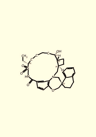 CC[C@@H]1CCCC[C@H](O)[C@@H]2CC[C@H]2CN2C[C@@]3(CCCc4ccccc43)COc3ccc(cc32)C(=O)NS1(=O)=O